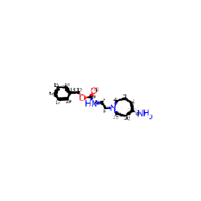 N[C@H]1CCCN(CCNC(=O)OCc2ccccc2)CC1